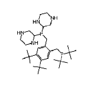 CC(C)(C)c1cc(CP(C2CNCCN2)C2CNCCN2)c(CP(C(C)(C)C)C(C)(C)C)cc1C(C)(C)C